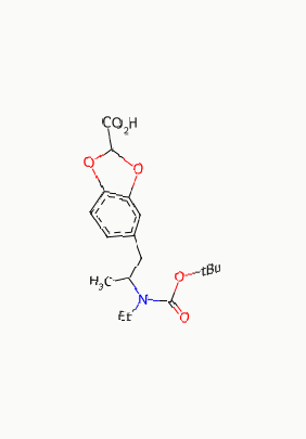 CCN(C(=O)OC(C)(C)C)C(C)Cc1ccc2c(c1)OC(C(=O)O)O2